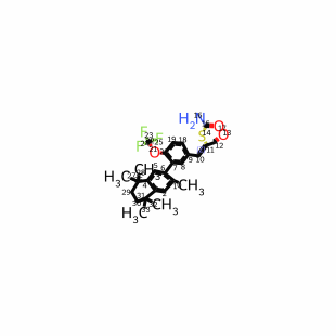 Cc1cc2c(cc1-c1cc(/C=C(/C=O)SC(N)=O)ccc1OC(F)(F)F)C(C)(C)CCC2(C)C